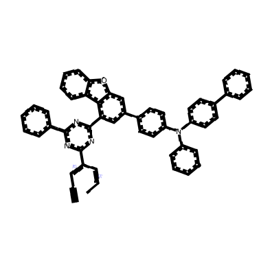 C#C/C=C(\C=C/C)c1nc(-c2ccccc2)nc(-c2cc(-c3ccc(N(c4ccccc4)c4ccc(-c5ccccc5)cc4)cc3)cc3oc4ccccc4c23)n1